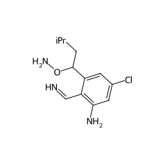 CC(C)CC(ON)c1cc(Cl)cc(N)c1C=N